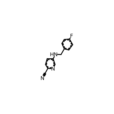 N#Cc1ccc(NCc2ccc(F)cc2)cn1